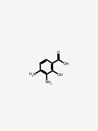 Nc1ccc(C(=O)O)c(O)c1N